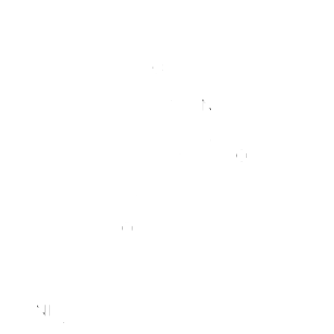 Cc1ccc(N2C(=O)c3ccc(Oc4cccc(N)c4)cc3C2=O)c(C)c1